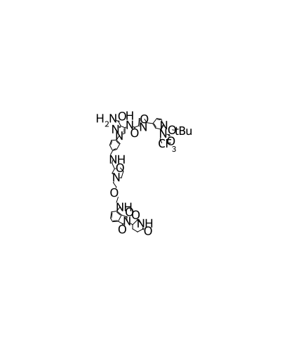 CC(C)(C)OC(=O)N(CC(F)(F)F)c1cc(-c2nc(C(=O)Nc3cn(-c4ccc(CNCC5CN(CCOCCNc6cccc7c6C(=O)N(C6CCC(=O)NC6=O)C7=O)CCO5)cc4)nc3C(N)=O)co2)ccn1